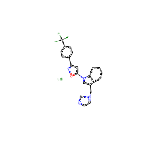 Cl.FC(F)(F)c1ccc(-c2cc(-n3cc(Cn4ccnc4)c4ccccc43)on2)cc1